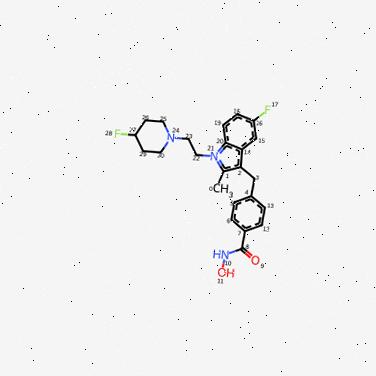 Cc1c(Cc2ccc(C(=O)NO)cc2)c2cc(F)ccc2n1CCN1CCC(F)CC1